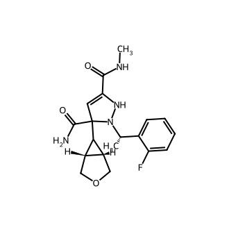 CNC(=O)C1=CC(C(N)=O)(C2[C@H]3COC[C@@H]23)N([C@@H](C)c2ccccc2F)N1